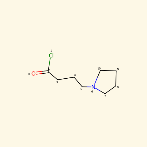 O=C(Cl)CCCN1CCCC1